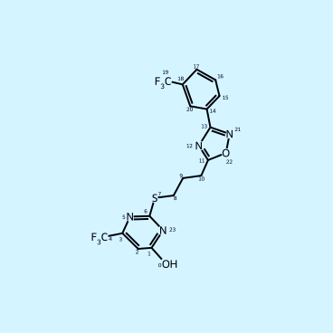 Oc1cc(C(F)(F)F)nc(SCCCc2nc(-c3cccc(C(F)(F)F)c3)no2)n1